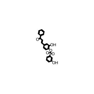 O=C(/C=C/c1ccc(OS(=O)(=O)c2cccc(O)c2)c(O)c1)c1ccccc1